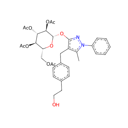 CC(=O)OC[C@H]1O[C@@H](Oc2nn(-c3ccccc3)c(C)c2Cc2ccc(CCO)cc2)[C@H](OC(C)=O)[C@@H](OC(C)=O)[C@@H]1OC(C)=O